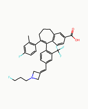 Cc1cc(F)ccc1C1=C(c2ccc(C=C3CN(CCCF)C3)cc2C(F)(F)F)c2ccc(C(=O)O)cc2CCC1